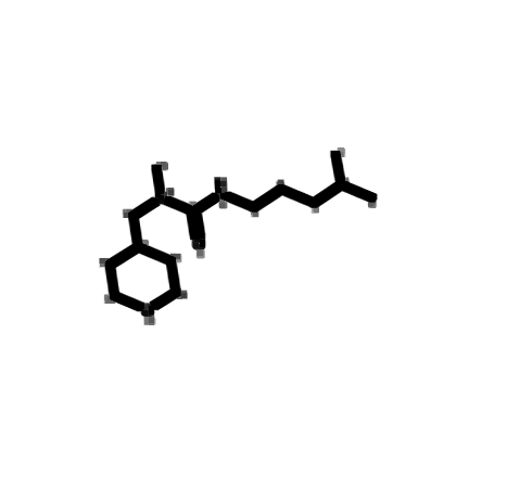 CC(C)CCCNC(=O)N(C)CC1CCOCC1